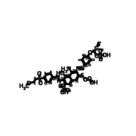 COCCS(=O)(=O)c1ccc(N=Nc2c(S(=O)(=O)O)cc3cc(SOOO)c(N=Nc4ccc(OC(=C=S)OS(=O)(=O)O)cc4)c(N)c3c2O)cc1